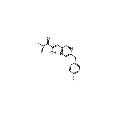 CN(F)C(=O)/C(O)=C/c1cnc(Cc2ccc(F)cc2)cn1